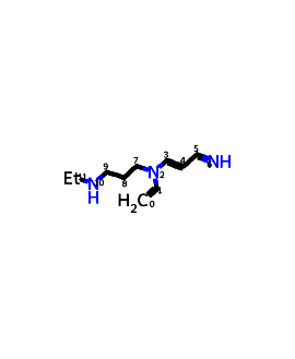 C=CN(/C=C/C=N)CCCNCC